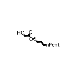 CCCCCCCCSOC(=O)CO